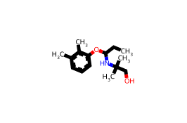 CCC(NC(C)(C)CO)Oc1cccc(C)c1C